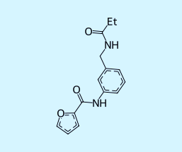 CCC(=O)NCc1cccc(NC(=O)c2ccco2)c1